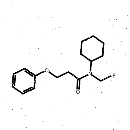 CC(C)CN(C(=O)CCOc1ccccc1)C1CCCCC1